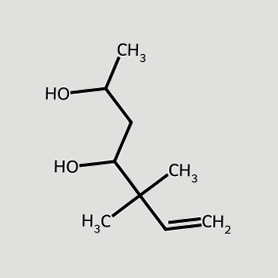 C=CC(C)(C)C(O)CC(C)O